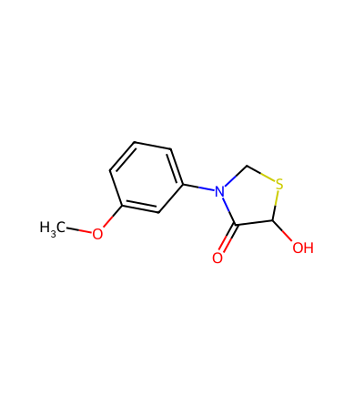 COc1cccc(N2CSC(O)C2=O)c1